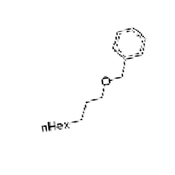 CCCCCCCCCOCc1ccccc1